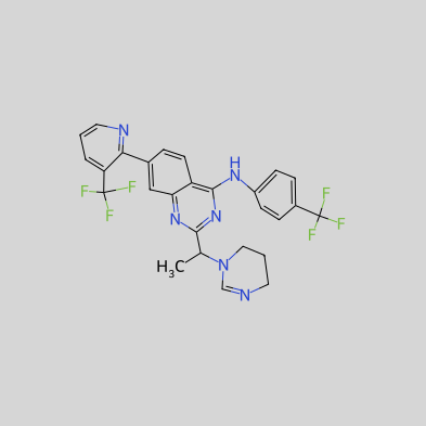 CC(c1nc(Nc2ccc(C(F)(F)F)cc2)c2ccc(-c3ncccc3C(F)(F)F)cc2n1)N1C=NCCC1